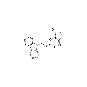 B=C1CCC(=O)N1OC(=O)OCC1c2ccccc2-c2ccccc21